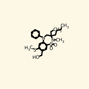 CCCCC1(CC)CN(c2ccccc2)c2cc(SC)c(CO)cc2S(=O)(=O)N1C